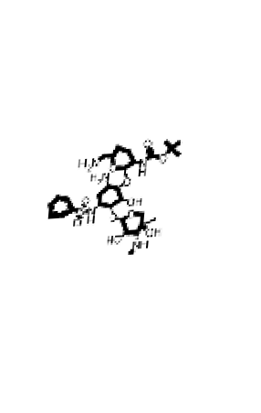 CN[C@@H]1[C@@H](O)[C@@H](O[C@@H]2[C@@H](O)[C@H](O[C@H]3OC(CN)=CC[C@H]3NC(=O)OC(C)(C)C)[C@@H](N)C[C@H]2NS(=O)(=O)c2ccccc2)OC[C@]1(C)O